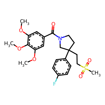 COc1cc(C(=O)N2CCC(CCS(C)(=O)=O)(c3ccc(F)cc3)C2)cc(OC)c1OC